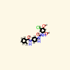 COc1cc(OC)c(NC(=O)Nc2ccc(NC(=O)c3ccccc3C)cc2)cc1Cl